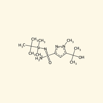 Cn1nc(S(N)(=O)=N[Si](C)(C)C(C)(C)C)cc1C(C)(C)O